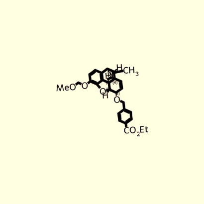 CCOC(=O)c1ccc(CO[C@H]2C=C[C@H]3[C@H]4Cc5ccc(OCOC)c6c5[C@@]3(CCN4C)[C@H]2O6)cc1